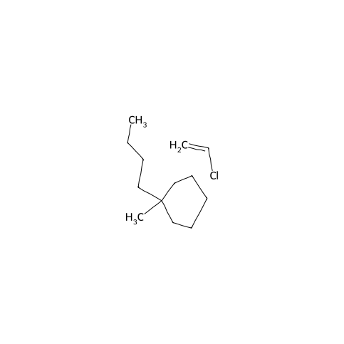 C=CCl.CCCCC1(C)CCCCC1